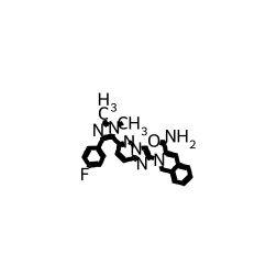 Cc1nc(-c2ccc(F)cc2)c(-c2ccc3nc(N4Cc5ccccc5C=C4C(N)=O)cn3n2)n1C